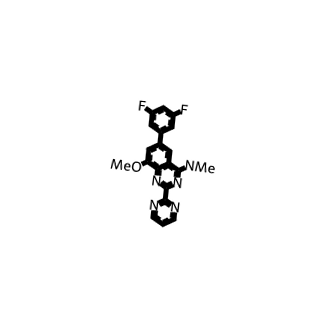 CNc1nc(-c2ncccn2)nc2c(OC)cc(-c3cc(F)cc(F)c3)cc12